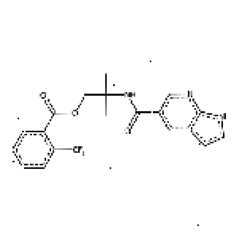 CC(C)(COC(=O)c1ccccc1C(F)(F)F)NC(=O)c1cnc2[nH]ccc2c1